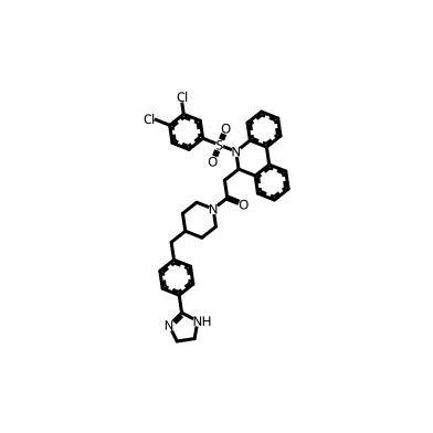 O=C(CC1c2ccccc2-c2ccccc2N1S(=O)(=O)c1ccc(Cl)c(Cl)c1)N1CCC(Cc2ccc(C3=NCCN3)cc2)CC1